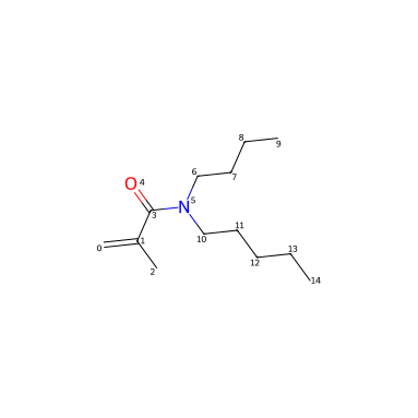 C=C(C)C(=O)N(CCCC)CCCCC